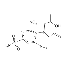 C=CCN(CC(C)O)c1c([N+](=O)[O-])cc(S(N)(=O)=O)cc1[N+](=O)[O-]